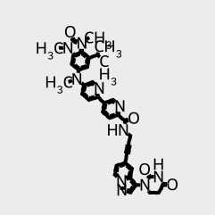 CC(C)c1cc(N(C)c2ccc(-c3ccc(C(=O)NCC#Cc4ccn5ncc(N6CCC(=O)NC6=O)c5c4)nc3)nc2)cc2c1n(C)c(=O)n2C